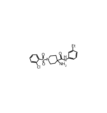 CCc1cccc(NC(=O)C2(N)CCN(S(=O)(=O)c3ccccc3Cl)CC2)c1